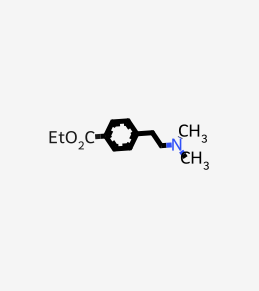 CCOC(=O)c1ccc(CCN(C)C)cc1